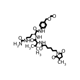 CC1CC(=O)N(CCCCCC(=O)N[C@H](C(=O)N[C@@H](CCCNC(N)=O)C(=O)Nc2ccc(COC=O)cc2)C(C)C)C1=O